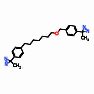 CC1(c2ccc(CCCCCCCOCc3ccc(C4(C)N=N4)cc3)cc2)N=N1